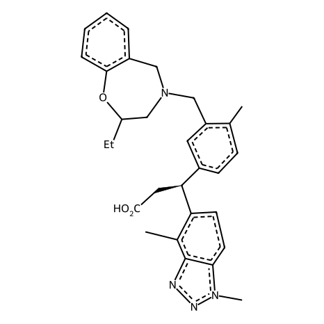 CCC1CN(Cc2cc([C@H](CC(=O)O)c3ccc4c(nnn4C)c3C)ccc2C)Cc2ccccc2O1